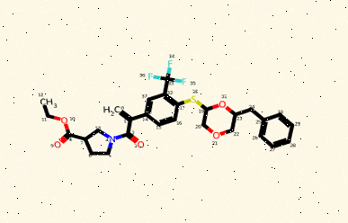 C=C(C(=O)N1CCC(C(=O)OCC)C1)c1ccc(SC2COCC(Cc3ccccc3)O2)c(C(F)(F)F)c1